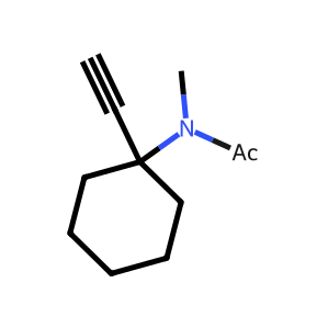 C#CC1(N(C)C(C)=O)CCCCC1